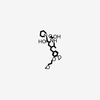 COCCCOc1cc(CC(CC(NC(=O)O)[C@@H](O)CN2CCCCC2)C(C)C)ccc1OC